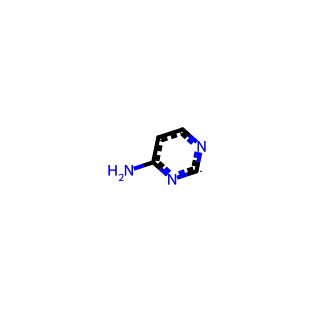 Nc1ccn[c]n1